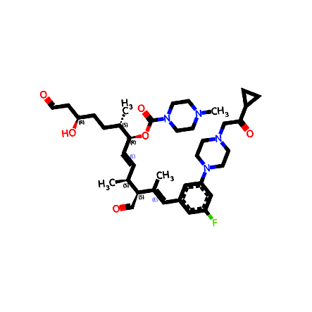 C/C(=C\c1cc(F)cc(N2CCN(CC(=O)C3CC3)CC2)c1)[C@@H](C=O)[C@@H](C)/C=C/[C@H](OC(=O)N1CCN(C)CC1)[C@@H](C)CC[C@@H](O)CC=O